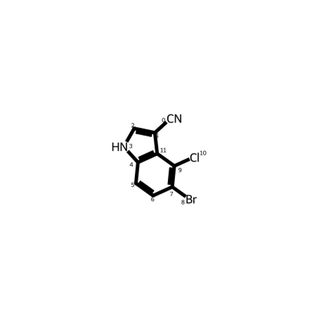 N#Cc1c[nH]c2ccc(Br)c(Cl)c12